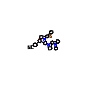 N#Cc1ccc(-c2cccc(-c3ccc(-n4c5ccccc5c5c4ccc4c6ccccc6n(-c6ccccc6)c45)cc3-n3c4ccccc4c4cc5c(cc43)sc3ccccc35)c2)cc1